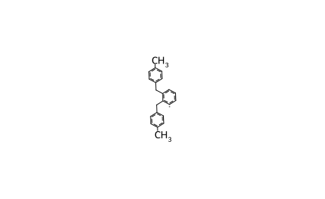 Cc1ccc(Cc2[c]cccc2Cc2ccc(C)cc2)cc1